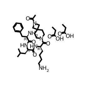 CC(=O)N1CC2(CCN(C(=O)[C@@H](CCCCN)NC(=O)[C@@H](CC(C)C)NC(=O)[C@H](N)Cc3ccccc3)CC2)C1.CCC(=O)O.CCC(=O)O